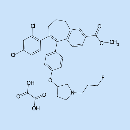 COC(=O)c1ccc2c(c1)CCCC(c1ccc(Cl)cc1Cl)=C2c1ccc(OC2CCN(CCCF)C2)cc1.O=C(O)C(=O)O